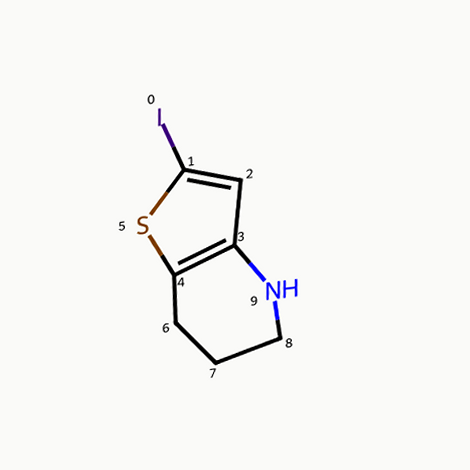 Ic1cc2c(s1)CCCN2